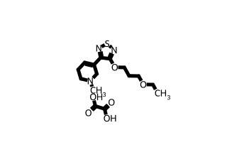 CCOCCCOc1nsnc1C1=CCCN(C)C1.O=C(O)C(=O)O